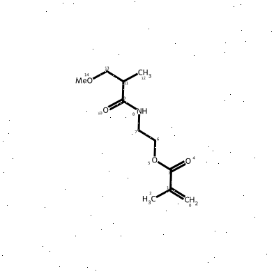 C=C(C)C(=O)OCCNC(=O)C(C)COC